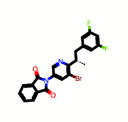 C[C@@H](Cc1cc(F)cc(F)c1)c1ncc(N2C(=O)c3ccccc3C2=O)cc1Br